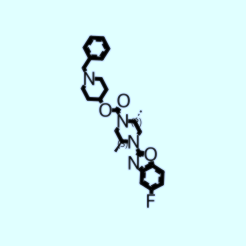 C[C@@H]1CN(c2nc3cc(F)ccc3o2)[C@@H](C)CN1C(=O)OC1CCN(Cc2ccccc2)CC1